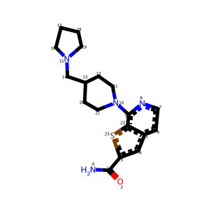 NC(=O)c1cc2ccnc(N3CCC(CN4CCCC4)CC3)c2s1